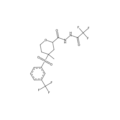 CC1(S(=O)(=O)c2cccc(C(F)(F)F)c2)CCOC(C(=O)NNC(=O)C(F)(F)F)C1